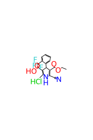 CCOC(=O)C1=C(C#N)NC(C)=C(C(=O)O)C1c1ccccc1C(F)(F)F.Cl